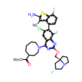 COC(=O)C1CCCCN(c2nc(OC[C@@]34CCCN3C[C@H](F)C4)nc3c(F)c(-c4ccc(F)c5sc(N)c(C#N)c45)c(Cl)cc23)CC1